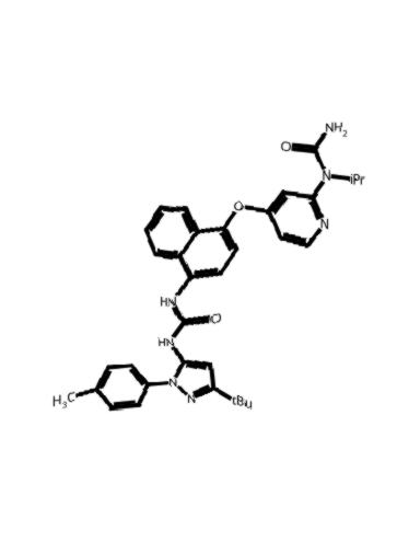 Cc1ccc(-n2nc(C(C)(C)C)cc2NC(=O)Nc2ccc(Oc3ccnc(N(C(N)=O)C(C)C)c3)c3ccccc23)cc1